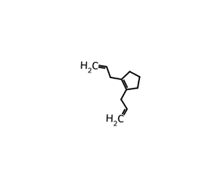 C=CCC1=C(CC=C)CCC1